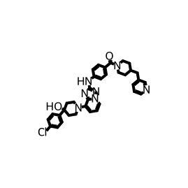 O=C(c1ccc(Nc2nc3c(N4CCC(O)(c5ccc(Cl)cc5)CC4)cccn3n2)cc1)N1CCC(Cc2cccnc2)CC1